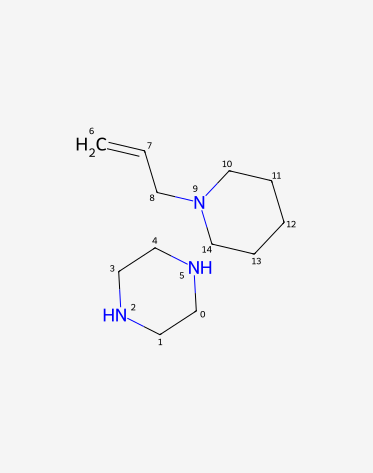 C1CNCCN1.C=CCN1CCCCC1